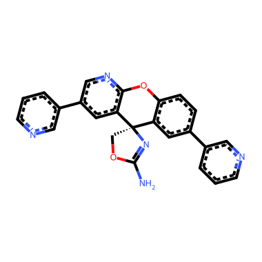 NC1=N[C@]2(CO1)c1cc(-c3cccnc3)ccc1Oc1ncc(-c3cccnc3)cc12